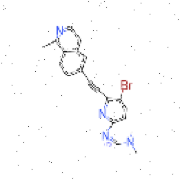 Cc1nccc2cc(C#Cc3nc(/N=C\N(C)C)ccc3Br)ccc12